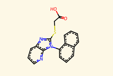 O=C(O)CSc1nc2cccnc2n1-c1cccc2ccccc12